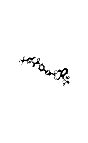 Cc1cc(C(F)(F)F)nn1C(C)C(=O)N1CCC(c2nc(C3OCc4cccc(OS(C)(=O)=O)c4CO3)cs2)CC1